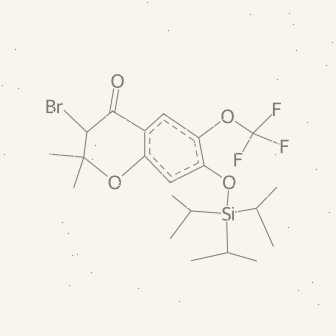 CC(C)[Si](Oc1cc2c(cc1OC(F)(F)F)C(=O)C(Br)C(C)(C)O2)(C(C)C)C(C)C